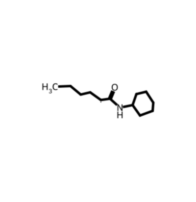 CCCC[CH]C(=O)NC1CCCCC1